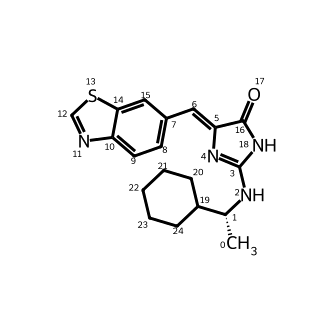 C[C@@H](NC1=N/C(=C\c2ccc3ncsc3c2)C(=O)N1)C1CCCCC1